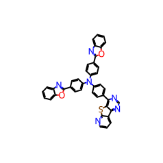 c1ccc2oc(-c3ccc(N(c4ccc(-c5nc6ccccc6o5)cc4)c4ccc(-c5ncnc6c5sc5ncccc56)cc4)cc3)nc2c1